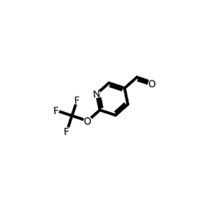 O=Cc1ccc(OC(F)(F)F)nc1